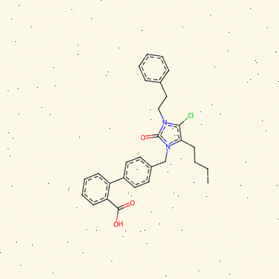 CCCCc1c(Cl)n(CCc2ccccc2)c(=O)n1Cc1ccc(-c2ccccc2C(=O)O)cc1